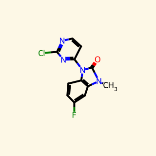 Cn1c(=O)n(-c2ccnc(Cl)n2)c2ccc(F)cc21